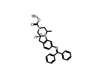 CC1CN(C(=O)OC(C)(C)C)C[C@H]2Cc3ccc(N=C(c4ccccc4)c4ccccc4)cc3N12